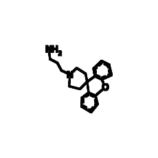 NCCCN1CCC2(CC1)c1ccccc1Oc1ccccc12